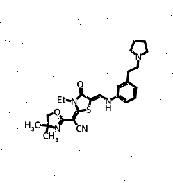 CCn1c(=C(C#N)C2=NC(C)(C)CO2)sc(=CNc2cccc(CCN3CCCC3)c2)c1=O